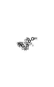 CCC(CC)(c1ccc(Nc2ncc(C(F)(F)F)c(Nc3ccc(C4CCNCC4)c4c3C(=O)N(C)C4)n2)c(OC)c1)P(=O)(O)O